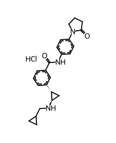 Cl.O=C(Nc1ccc(N2CCCC2=O)cc1)c1cccc([C@@H]2C[C@H]2NCC2CC2)c1